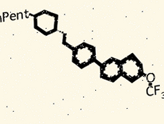 CCCCC[C@H]1CC[C@H](CCc2ccc(-c3ccc4cc(OC(F)(F)F)ccc4c3)cc2)CC1